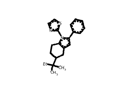 CCC(C)(C)C1CCc2c(cc(-c3ccccc3)n2-c2n[c]cs2)C1